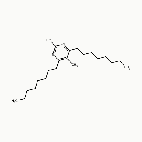 CCCCCCCCc1nc(C)nc(CCCCCCCC)c1C